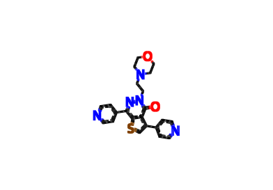 O=c1c2c(-c3ccncc3)csc2c(-c2ccncc2)nn1CCN1CCOCC1